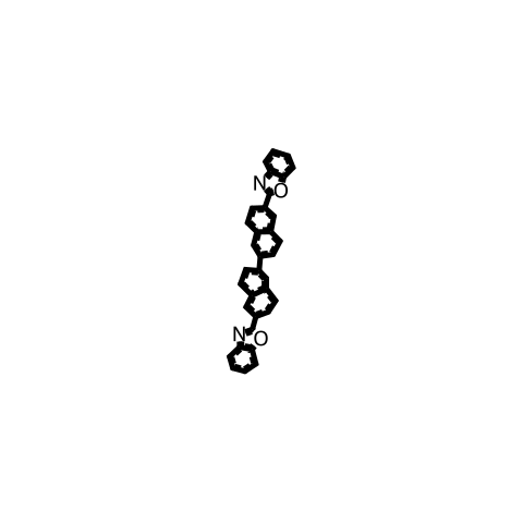 c1ccc2oc(-c3ccc4cc(-c5ccc6cc(-c7nc8ccccc8o7)ccc6c5)ccc4c3)nc2c1